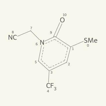 CSc1cc(C(F)(F)F)cn(CC#N)c1=O